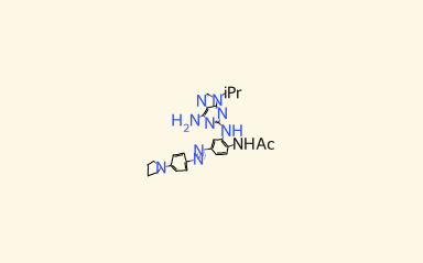 CC(=O)Nc1ccc(/N=N/c2ccc(N3CCCC3)cc2)cc1Nc1nc(N)c2ncn(C(C)C)c2n1